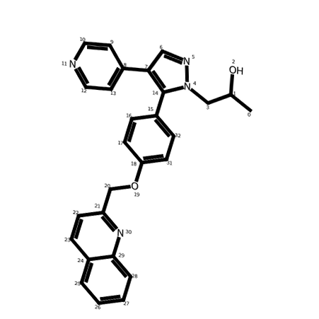 CC(O)Cn1ncc(-c2ccncc2)c1-c1ccc(OCc2ccc3ccccc3n2)cc1